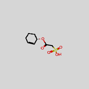 O=C(CS(=O)(=O)O)O[C@@H]1C=CCCC1